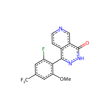 COc1cc(C(F)(F)F)cc(F)c1-c1n[nH]c(=O)c2cnccc12